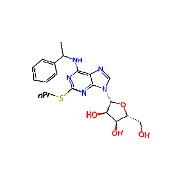 CCCSc1nc(NC(C)c2ccccc2)c2ncn([C@@H]3O[C@H](CO)[C@@H](O)[C@H]3O)c2n1